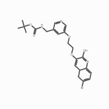 CC(C)(C)OC(=O)NCc1cncc(OCCOC2=CC3CC(Br)=CC=C3N=C2O)c1